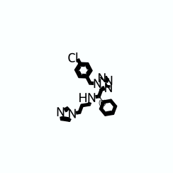 Clc1ccc(Cn2nnnc2C(NCCCn2ccnc2)[C@H]2CC=CCC2)cc1